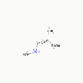 CCCN/C=C(/C)NC